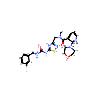 CN(Cc1nsc(NC(=O)NCc2cccc(F)c2)n1)C(=O)c1cccnc1N1CCOCC1